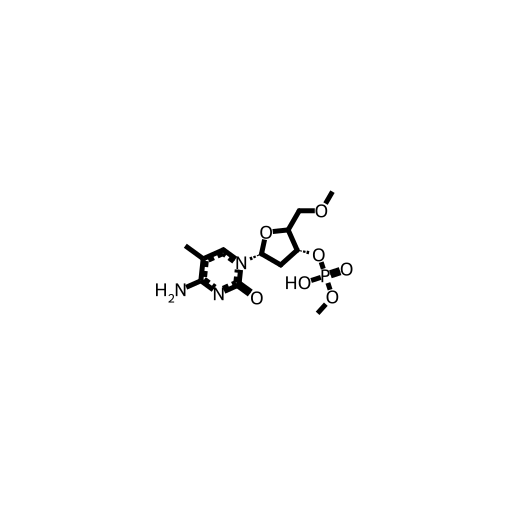 COCC1O[C@@H](n2cc(C)c(N)nc2=O)C[C@H]1OP(=O)(O)OC